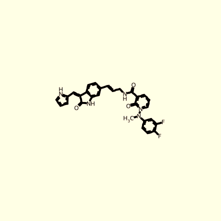 CN(c1ccc(F)c(F)c1)n1cccc(C(=O)NCC=Cc2ccc3c(c2)NC(=O)C3=Cc2ccc[nH]2)c1=O